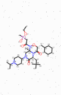 CCOP(C)(=O)CC(=O)N1O[C@H](CC2CCCCC2)C(=O)N2[C@@H]1CN(C1CCN(C(C)C)CC1)C(=O)[C@@H]2CC(C)(C)C